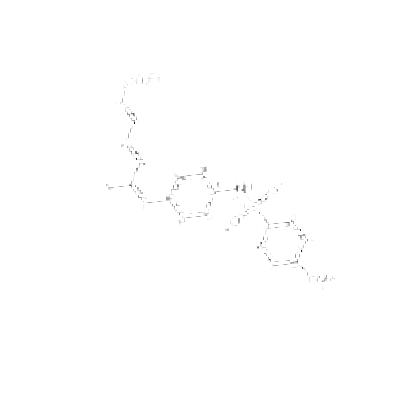 CCOC(=O)C=CC=CC(C)=Cc1ccc(NS(=O)(=O)c2ccc(OC)cc2)cc1